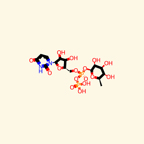 C[C@H]1O[C@@H](OP(=O)(OC[C@@H]2O[C@H](n3ccc(=O)[nH]c3=O)C(O)C2O)OP(=O)(O)O)[C@H](O)[C@@H](O)[C@@H]1O